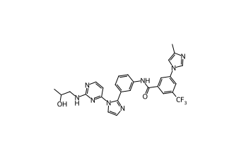 Cc1cn(-c2cc(C(=O)Nc3cccc(-c4nccn4-c4ccnc(NCC(C)O)n4)c3)cc(C(F)(F)F)c2)cn1